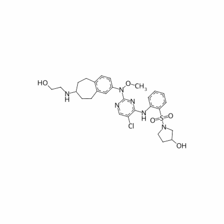 CON(c1ccc2c(c1)CCC(NCCO)CC2)c1ncc(Cl)c(Nc2ccccc2S(=O)(=O)N2CCC(O)C2)n1